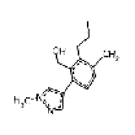 Cc1ccc(-c2cnn(C)c2)c(CO)c1CCI